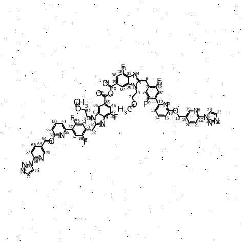 COCCn1c(Cc2cc(F)c(-c3cccc(OCc4ccc(-n5ccnn5)nc4)n3)cc2F)nc2c(F)cc(C(=O)OC(=O)c3cc(F)c4nc(Cc5cc(F)c(-c6cccc(OCc7ccc(-n8ccnn8)nc7)n6)cc5F)n(CCOC)c4c3)cc21